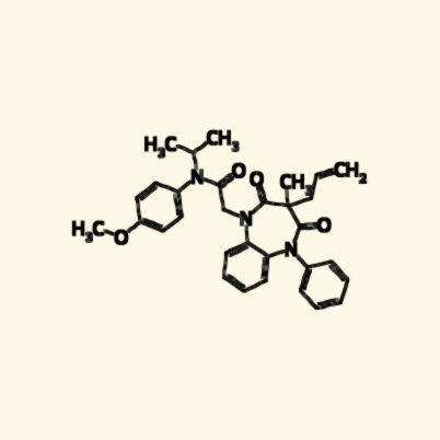 C=CCC1(C)C(=O)N(CC(=O)N(c2ccc(OC)cc2)C(C)C)c2ccccc2N(c2ccccc2)C1=O